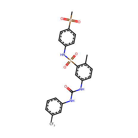 Cc1ccc(NC(=O)Nc2cccc(C(F)(F)F)c2)cc1S(=O)(=O)Nc1ccc(S(C)(=O)=O)cc1